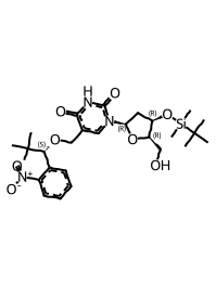 CC(C)(C)[C@H](OCc1cn([C@H]2C[C@@H](O[Si](C)(C)C(C)(C)C)[C@@H](CO)O2)c(=O)[nH]c1=O)c1ccccc1[N+](=O)[O-]